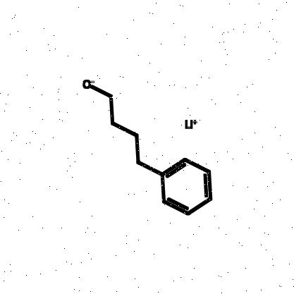 [Li+].[O-]CCCCc1ccccc1